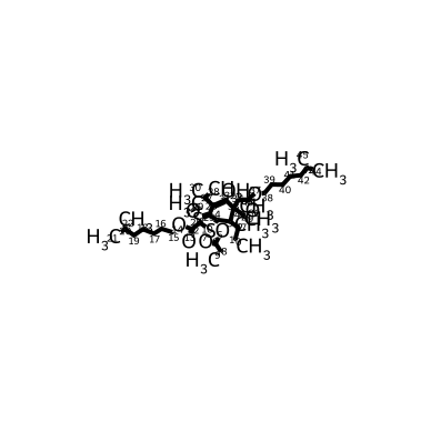 CCCC1C(OC(=O)CC)(SCC(=O)OCCCCCC(C)C)C(=S=O)C(C(C)(C)C)=C(O)C1(CC(=O)OCCCCCC(C)C)C(C)(C)C